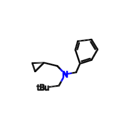 CC(C)(C)CN(Cc1ccccc1)CC1CC1